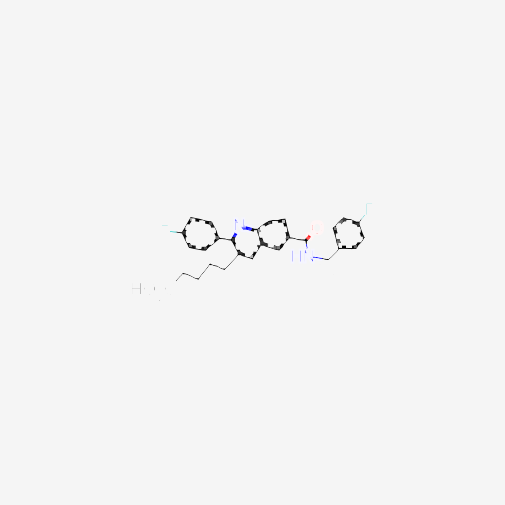 C[C@H](NC(=O)c1ccc2nc(-c3ccc(F)cc3)c(CCCCC(=O)O)cc2c1)c1ccc(F)cc1